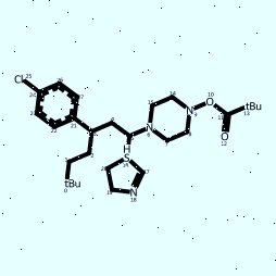 CC(C)(C)CCC(CC(N1CCN(OC(=O)C(C)(C)C)CC1)[SH]1C=NCC1)c1ccc(Cl)cc1